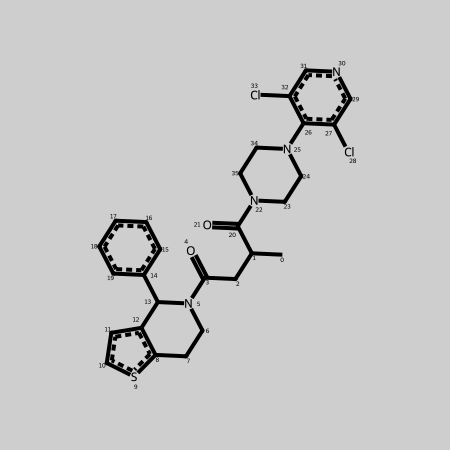 CC(CC(=O)N1CCc2sccc2C1c1ccccc1)C(=O)N1CCN(c2c(Cl)cncc2Cl)CC1